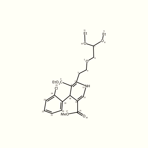 CCOC(=O)C1=C(CCOCC(OCC)OCC)NC=C(C(=O)OC)C1c1ccccc1Cl